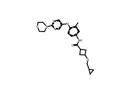 Cc1cc(NC(=O)C2CC(OCC3CC3)C2)ccc1Oc1cnc(N2CCOCC2)nc1